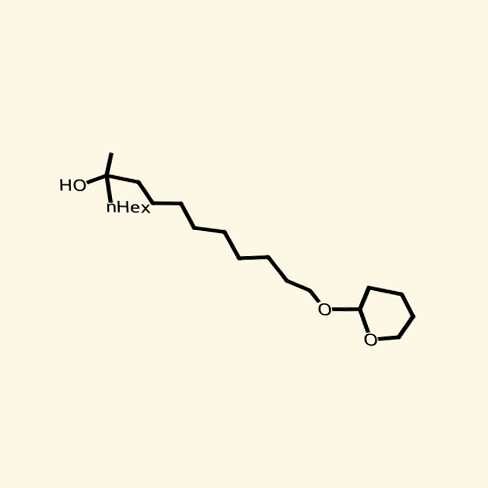 CCCCCCC(C)(O)CCCCCCCCCOC1CCCCO1